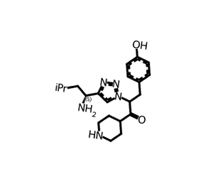 CC(C)C[C@H](N)c1cn(C(Cc2ccc(O)cc2)C(=O)C2CCNCC2)nn1